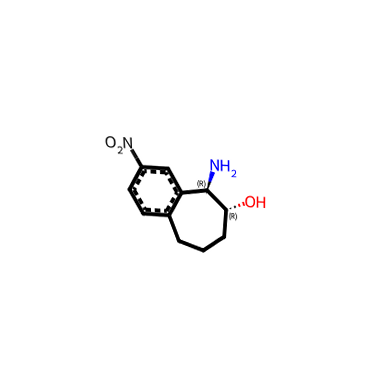 N[C@@H]1c2cc([N+](=O)[O-])ccc2CCC[C@H]1O